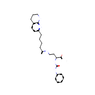 C=C(CCCCc1ccc2c(n1)NCCC2)NCCC(NC(=O)Nc1ccccc1)C(=C)O